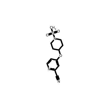 CS(=O)(=O)N1CCC(Oc2ccnc(C#N)c2)CC1